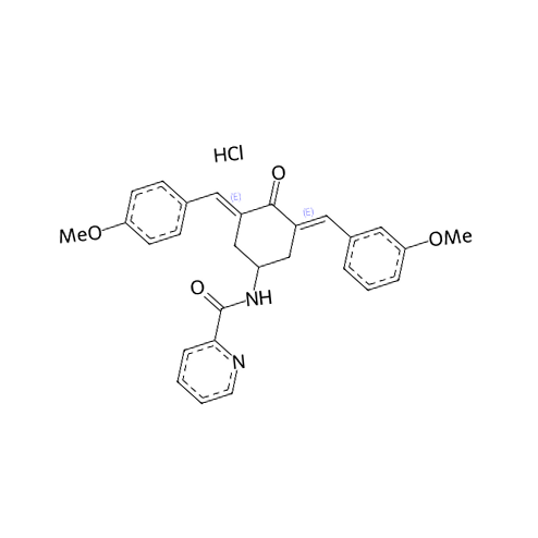 COc1ccc(/C=C2\CC(NC(=O)c3ccccn3)C/C(=C\c3cccc(OC)c3)C2=O)cc1.Cl